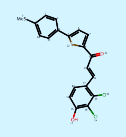 CSc1ccc(-c2ccc(C(=O)C=Cc3ccc(O)c(Cl)c3Cl)s2)cc1